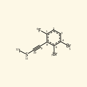 Fc1ccc(Br)c(Br)c1C#CSI